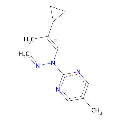 C=NN(/C=C(\C)C1CC1)c1ncc(C)cn1